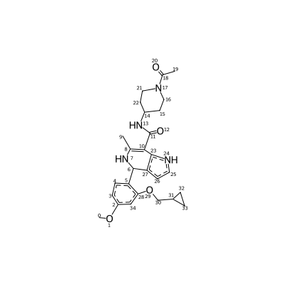 COc1ccc(C2NC(C)=C(C(=O)NC3CCN(C(C)=O)CC3)c3[nH]ccc32)c(OCC2CC2)c1